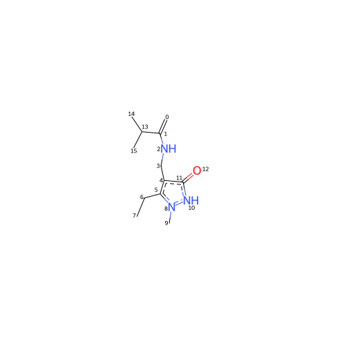 C=C(NCc1c(CC)n(C)[nH]c1=O)C(C)C